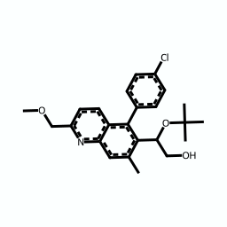 COCc1ccc2c(-c3ccc(Cl)cc3)c(C(CO)OC(C)(C)C)c(C)cc2n1